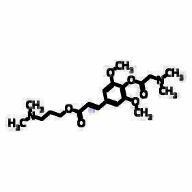 COc1cc(/C=C/C(=O)OCCCN(C)C)cc(OC)c1OC(=O)CN(C)C